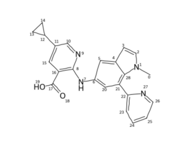 Cn1ccc2cc(Nc3ncc(C4CC4)cc3C(=O)O)cc(-c3ccccn3)c21